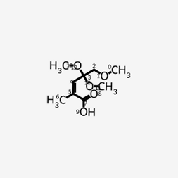 COCC(C=C(C)C(=O)O)(OC)OC